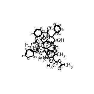 CC(=O)O[C@@H](C)C1=C(C)[C@@H](OC(=O)[C@H](O)[C@@H](NC(=O)c2ccccc2)c2ccccc2)C[C@@](O)([C@@H](OC(=O)C2=CC=CCC2)C2(C)[C@]3(OC(C)=O)CO[C@@H]3C[C@H](O)[C@@]2(C)C=O)C1(C)C